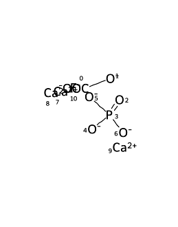 O=C([O-])[O-].O=P([O-])([O-])[O-].[Ca+2].[Ca+2].[Ca+2].[F-]